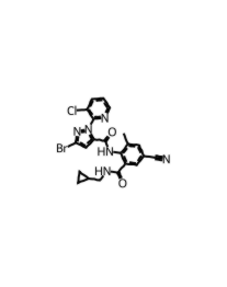 Cc1cc(C#N)cc(C(=O)NCC2CC2)c1NC(=O)c1cc(Br)nn1-c1ncccc1Cl